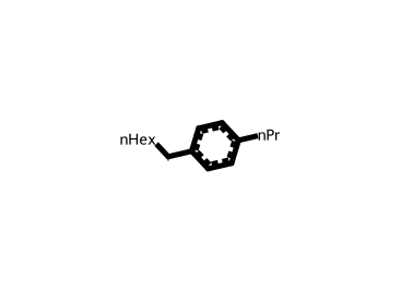 CCCCCC[CH]c1ccc(CCC)cc1